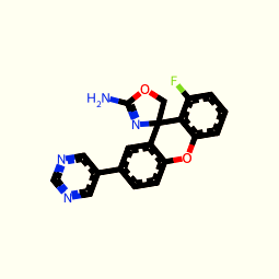 NC1=NC2(CO1)c1cc(-c3cncnc3)ccc1Oc1cccc(F)c12